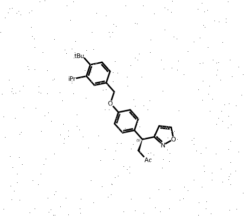 CC(=O)C[C@@H](c1ccc(OCc2ccc(C(C)(C)C)c(C(C)C)c2)cc1)c1ccon1